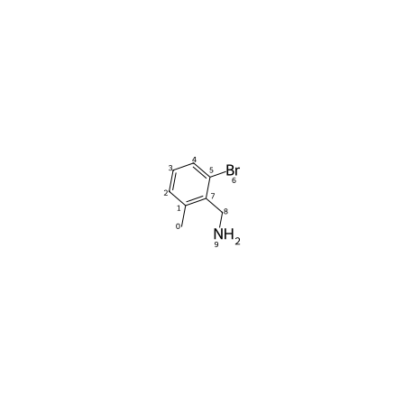 Cc1cccc(Br)c1CN